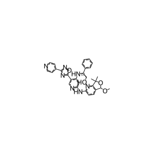 COC1OC(C)(C)c2nc(Nc3cc(N[C@H](CO)c4ccccc4)c(-c4nc(-c5ccncc5)no4)cn3)ccc21